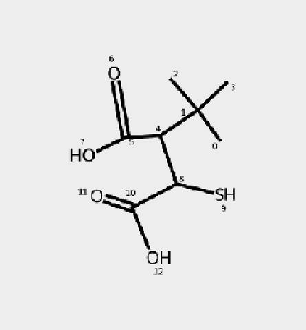 CC(C)(C)C(C(=O)O)C(S)C(=O)O